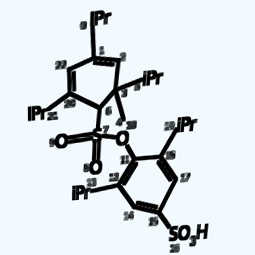 CC(C)C1=CC(C)(C(C)C)C(S(=O)(=O)Oc2c(C(C)C)cc(S(=O)(=O)O)cc2C(C)C)C(C(C)C)=C1